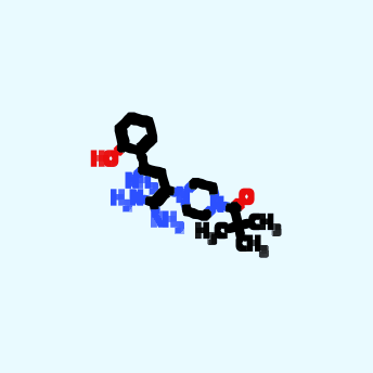 CC(C)(C)C(=O)N1CCN(C(/C=C(\N)c2ccccc2O)=C(N)N)CC1